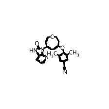 Cc1cc(C#N)cc(C)c1O/C1=C/C=C(n2c(=O)[nH]c3cccnc32)\C=C/CCC1